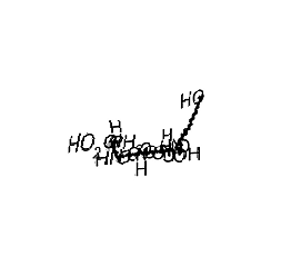 C=C(O)CCCCCCCCCCCCCCCCC(=O)N[C@@H](CCC(=O)NCCOCCOCC(=O)NCCOCCOCC(=C)NCCCC[C@H](NP)C(=O)O)C(=C)O